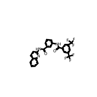 O=C(Nc1cccc(C(=O)Nc2ccc3ccccc3n2)c1)c1cc(C(F)(F)F)cc(C(F)(F)F)c1